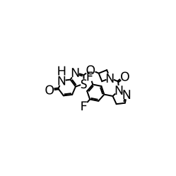 O=C(N1CC(Oc2nc3[nH]c(=O)ccc3s2)C1)N1N=CCC1c1cc(F)cc(F)c1